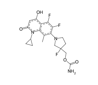 Cc1c(N2CCC(F)(COC(N)=O)C2)c(F)c(F)c2c(O)cc(=O)n(C3CC3)c12